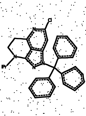 CC(C)N1CCc2nc(Cl)cc3c2c1nn3C(c1ccccc1)(c1ccccc1)c1ccccc1